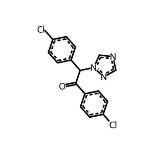 O=C(c1ccc(Cl)cc1)C(c1ccc(Cl)cc1)n1cncn1